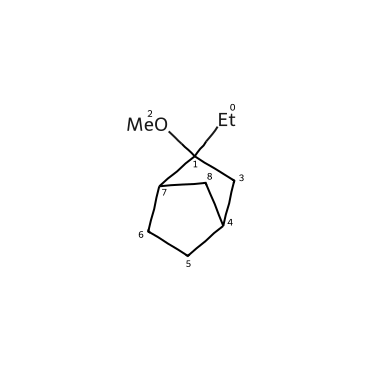 CCC1(OC)CC2CCC1C2